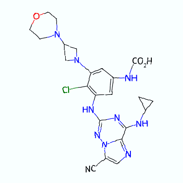 N#Cc1cnc2c(NC3CC3)nc(Nc3cc(NC(=O)O)cc(N4CC(N5CCOCC5)C4)c3Cl)nn12